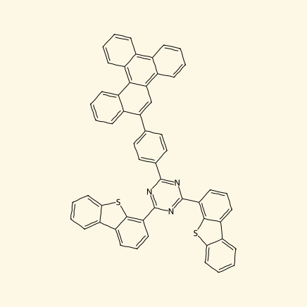 c1ccc2c(c1)sc1c(-c3nc(-c4ccc(-c5cc6c7ccccc7c7ccccc7c6c6ccccc56)cc4)nc(-c4cccc5c4sc4ccccc45)n3)cccc12